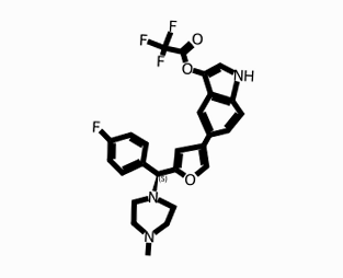 CN1CCN([C@@H](c2ccc(F)cc2)c2cc(-c3ccc4[nH]cc(OC(=O)C(F)(F)F)c4c3)co2)CC1